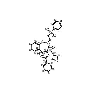 O=C1N(CCS(=O)(=O)c2ccccc2)Cc2ccccc2[C@@H]2OC(c3ccccc3)=N[C@]12CC1COC1